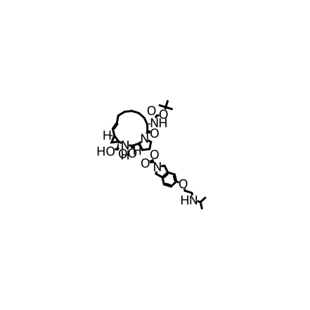 CC(C)NCCOc1ccc2c(c1)CN(C(=O)O[C@@H]1C[C@H]3C(=O)N[C@]4(C(=O)O)C[C@H]4/C=C/CCCCC[C@H](NC(=O)OC(C)(C)C)C(=O)N3C1)C2